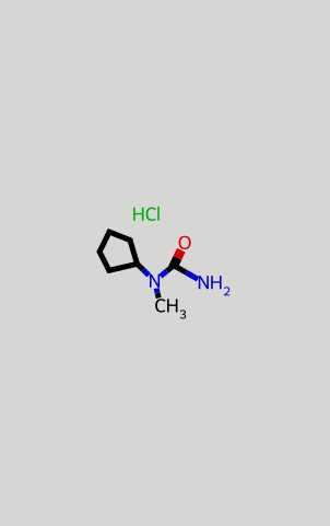 CN(C(N)=O)C1CCCC1.Cl